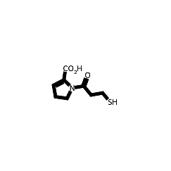 O=C(O)C1=CCCN1C(=O)CCS